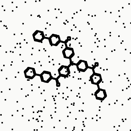 O=C(c1ccc(-c2ccccc2)cc1)c1ccc(N(c2ccc(C(=O)c3ccc(-c4ccccc4)cc3)cc2)c2ccc(C(=O)c3ccc(-c4ccccc4)cc3)cc2)cc1